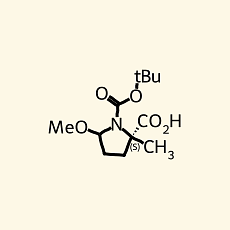 COC1CC[C@@](C)(C(=O)O)N1C(=O)OC(C)(C)C